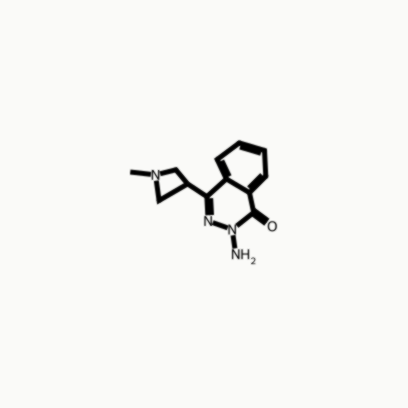 CN1CC(c2nn(N)c(=O)c3ccccc23)C1